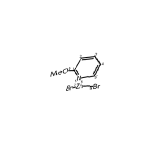 COc1ccc[c]n1.[Br][Zn][Br]